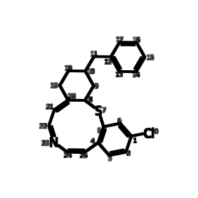 Clc1ccc2c(c1)SC1CC(Cc3ccccc3)CCC1=CC=NC=C2